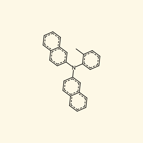 Cc1ccccc1N(c1ccc2ccccc2c1)c1ccc2ccccc2c1